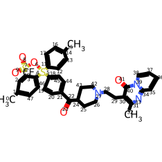 Cc1ccc(S(OS(=O)(=O)C(F)(F)F)(c2ccc(C)cc2)c2ccc(C(=O)C3CCN(CCc4c(C)nc5ccccn5c4=O)CC3)cc2)cc1